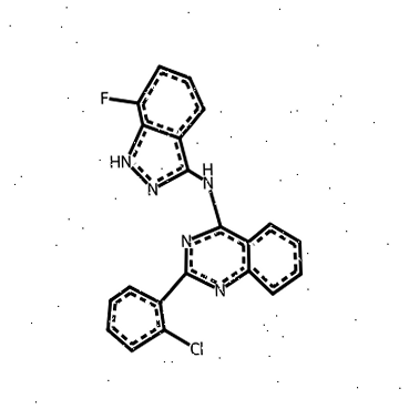 Fc1cccc2c(Nc3nc(-c4ccccc4Cl)nc4ccccc34)n[nH]c12